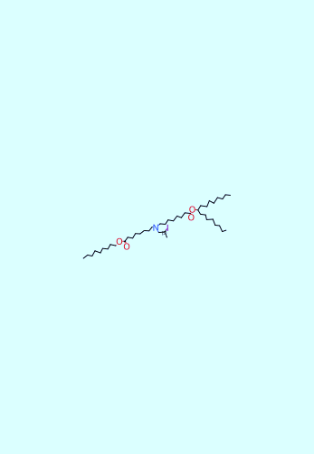 CCCCCCCCCOC(=O)CCCCCCCN(CCCCCCCC(=O)OC(CCCCCCCC)CCCCCCCC)C[C@H](C)I